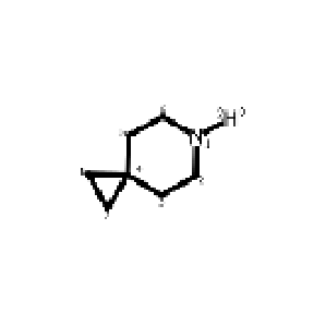 [2H]N1CCC2(CC1)CC2